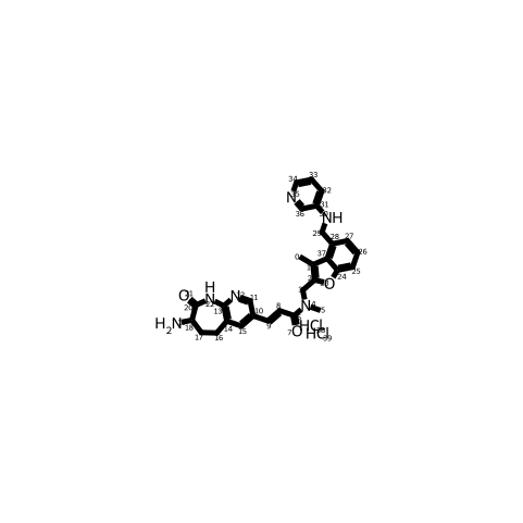 Cc1c(CN(C)C(=O)/C=C/c2cnc3c(c2)CCC(N)C(=O)N3)oc2cccc(CNc3cccnc3)c12.Cl.Cl